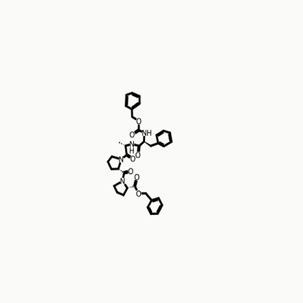 C[C@H](NC(=O)[C@H](Cc1ccccc1)NC(=O)OCc1ccccc1)C(=O)N1CCC[C@H]1C(=O)N1CCC[C@H]1C(=O)OCc1ccccc1